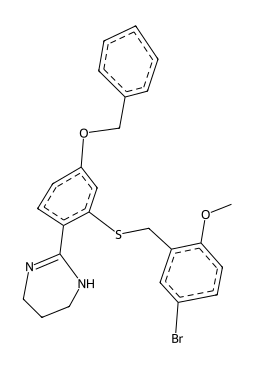 COc1ccc(Br)cc1CSc1cc(OCc2ccccc2)ccc1C1=NCCCN1